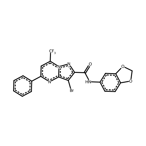 O=C(Nc1ccc2c(c1)OCO2)c1nn2c(C(F)(F)F)cc(-c3ccccc3)nc2c1Br